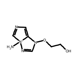 N[N+]12C=NC=C1N(OCCO)C=N2